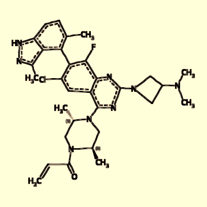 C=CC(=O)N1C[C@H](C)N(c2nc(N3CC(N(C)C)C3)nc3c(F)c(-c4c(C)ccc5[nH]nc(C)c45)c(Cl)cc23)C[C@H]1C